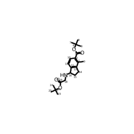 Cc1c(C(=O)OC(C)(C)C)ccc2c1CCC2NCC(=O)OC(C)(C)C